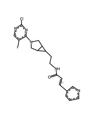 O=C(/C=C/c1cccnc1)NCCC1C2CN(c3nc(Cl)ncc3F)CC12